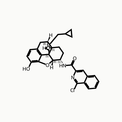 O=C(N[C@H]1CC[C@@]2(O)[C@H]3Cc4ccc(O)c5c4[C@@]2(CCN3CC2CC2)[C@H]1O5)c1cc2ccccc2c(Cl)n1